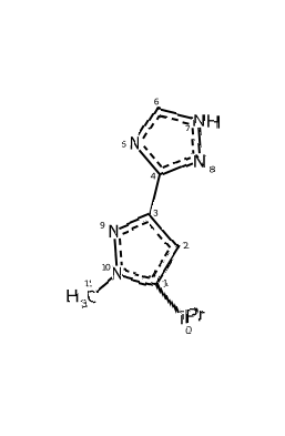 CC(C)c1cc(-c2nc[nH]n2)nn1C